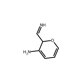 N=CC1OC=CC=C1N